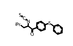 CC(C)CC(N=C=S)C(=O)c1ccc(Sc2ccccc2)cc1